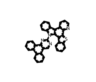 c1ccc2c(c1)sc1c3ncccc3c3c4ccccc4n(-c4ncc5c6ccccc6c6ccccc6c5n4)c3c21